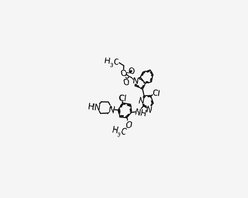 CCOS(=O)(=O)n1cc(-c2nc(Nc3cc(Cl)c(N4CCNCC4)cc3OC)ncc2Cl)c2ccccc21